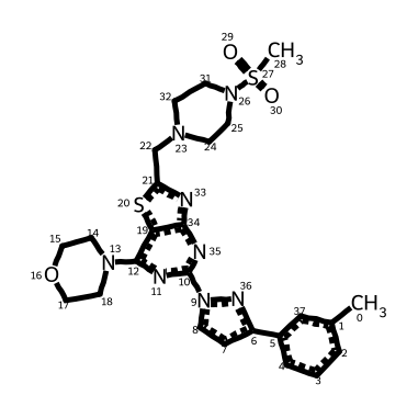 Cc1cccc(-c2ccn(-c3nc(N4CCOCC4)c4sc(CN5CCN(S(C)(=O)=O)CC5)nc4n3)n2)c1